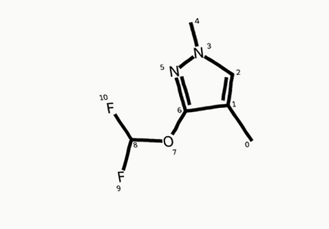 Cc1cn(C)nc1OC(F)F